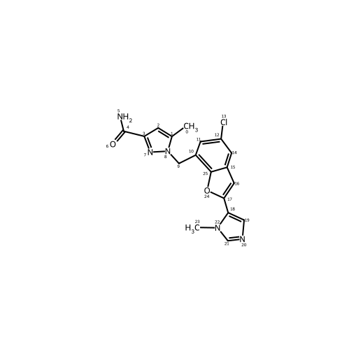 Cc1cc(C(N)=O)nn1Cc1cc(Cl)cc2cc(-c3cncn3C)oc12